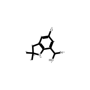 [2H]C(O)c1cc(Cl)cc2c1OC(C)(C)C2